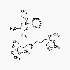 CCO[Si](OCC)(OCC)c1ccccc1.CO[Si](CCCNCCC[Si](OC)(OC)OC)(OC)OC